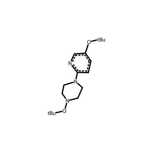 CC(C)(C)Oc1ccc(N2CCN(OC(C)(C)C)CC2)nc1